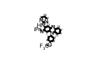 CC(C)N=c1cc2n(-c3ccc(OC(F)(F)F)cc3)c3ccccc3nc-2cc1Nc1ncccn1